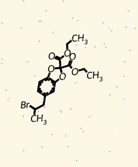 CCOC(=O)C1(C(=O)OCC)Oc2ccc(CC(C)Br)cc2O1